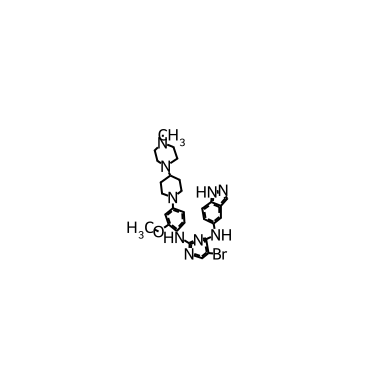 COc1cc(N2CCC(N3CCN(C)CC3)CC2)ccc1Nc1ncc(Br)c(Nc2ccc3[nH]ncc3c2)n1